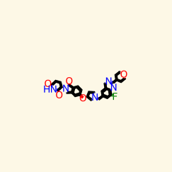 O=C1CC[C@H](N2Cc3cc(O[C@H]4CCN(Cc5cc(F)c6nc(C7CCOCC7)ncc6c5)C4)ccc3C2=O)C(=O)N1